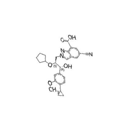 COc1cc([C@@H](O)[C@H](Cn2cc3cc(C#N)cc(C(=O)O)c3n2)OC2CCCC2)ccc1C1CC1